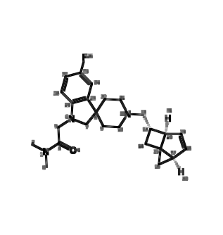 CN(C)C(=O)CN1CC2(CCN(C[C@H]3CC45C[C@@H]4C=C[C@H]35)CC2)c2cc(F)ccc21